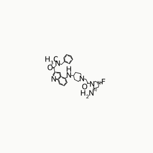 CN(Cc1ccccc1)C(=O)c1cnc2cccc(NC3CCN(CC(=O)N4C[C@@H](F)C[C@H]4N)CC3)c2c1